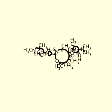 CO[C@]1(C)C[C@@H](C)CN(C)[C@H](C2CN(C(=O)CC(C)(C)CN(C)C)C2)COC(=O)C(C)(C)C(=O)[C@H](C)[C@H]1O[C@@H]1O[C@H](C)C[C@H](N(C)C)[C@H]1O